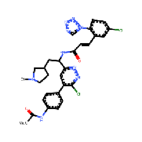 CCN1CCC(CC(NC(=O)C=Cc2cc(Cl)ccc2-n2cnnn2)c2cc(-c3ccc(NC(=O)OC)cc3)c(Cl)nn2)C1